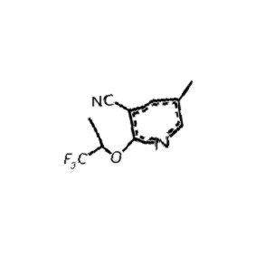 Cc1cnc(OC(C)C(F)(F)F)c(C#N)c1